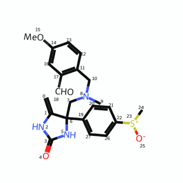 C=C1NC(=O)NC1(CN(C)Cc1ccc(OC)cc1C=O)c1ccc([S+](C)[O-])cc1